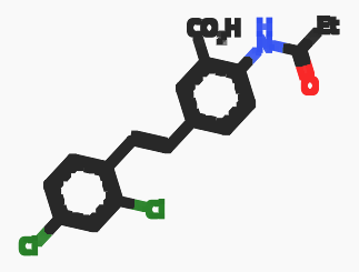 CCC(=O)Nc1ccc(C=Cc2ccc(Cl)cc2Cl)cc1C(=O)O